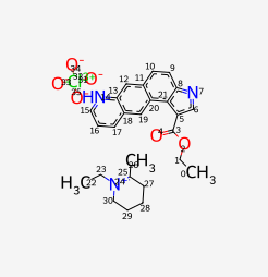 CCOC(=O)c1cnc2ccc3cc4[nH]cccc4cc3c12.CC[N+]1=C(C)CCCC1.[O-][Cl+3]([O-])([O-])[O-]